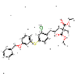 CCOC(=O)C(CC)(CCCc1ccc(Sc2cccc(OCc3ccccc3)c2)cc1Cl)C(=O)OCC